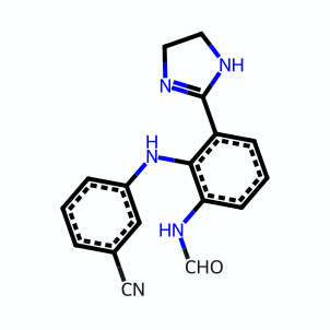 N#Cc1cccc(Nc2c(NC=O)cccc2C2=NCCN2)c1